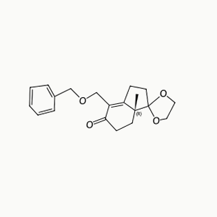 C[C@@]12CCC(=O)C(COCc3ccccc3)=C1CCC21OCCO1